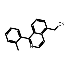 Cc1ccccc1-c1nccc2c(CC#N)cccc12